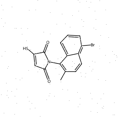 Cc1ccc2c(Br)cccc2c1N1C(=O)C=C(S)C1=O